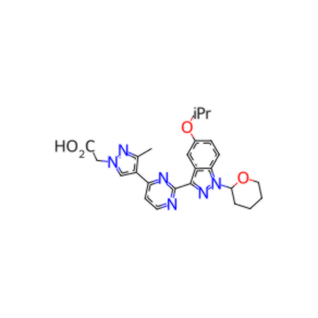 Cc1nn(CC(=O)O)cc1-c1ccnc(-c2nn(C3CCCCO3)c3ccc(OC(C)C)cc23)n1